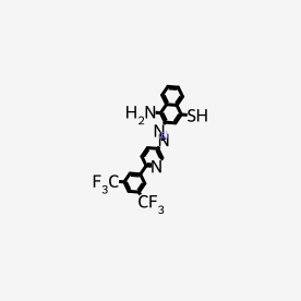 Nc1c(/N=N/c2ccc(-c3cc(C(F)(F)F)cc(C(F)(F)F)c3)nc2)cc(S)c2ccccc12